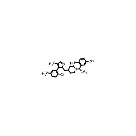 CC1=C(c2cc(P)ccc2Cl)C(CC2CCN(C(C)c3cc(O)ccc3P)CC2)N=C1